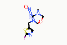 CN1COCN(Cc2cnc(I)s2)/C1=N/N=O